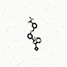 CNC(=O)c1cccc(COc2cccc(C3=NC(C4=CC=C4)=C4C=NC=C[N+]34N)c2)c1